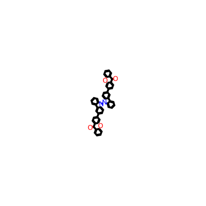 O=c1c2ccccc2oc2cc(-c3ccc4c(c3)c3ccccc3n4-n3c4ccccc4c4cc(-c5ccc6c(=O)c7ccccc7oc6c5)ccc43)ccc12